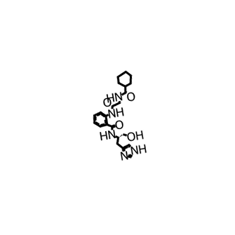 O=C(CNC(=O)C1CCCCC1)Nc1ccccc1C(=O)N[C@H](CO)Cc1c[nH]cn1